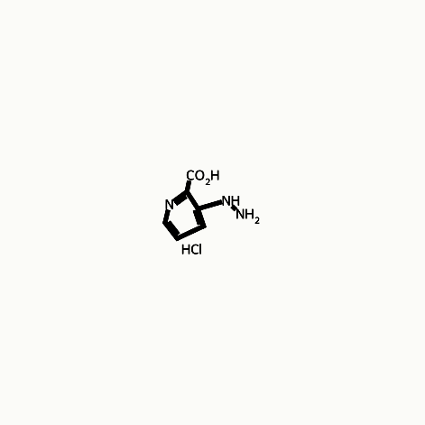 Cl.NNc1cccnc1C(=O)O